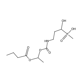 CCCC(=O)OC(C)OC(=O)NCCC(O)P(C)(=O)O